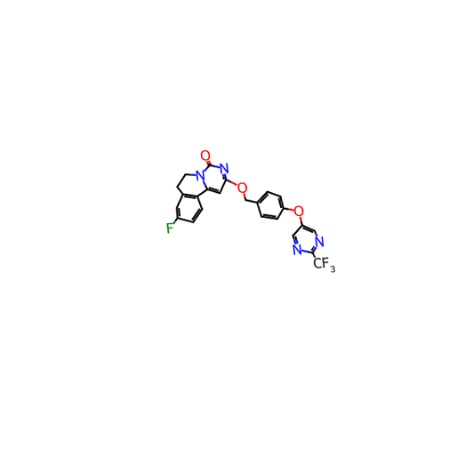 O=c1nc(OCc2ccc(Oc3cnc(C(F)(F)F)nc3)cc2)cc2n1CCc1cc(F)ccc1-2